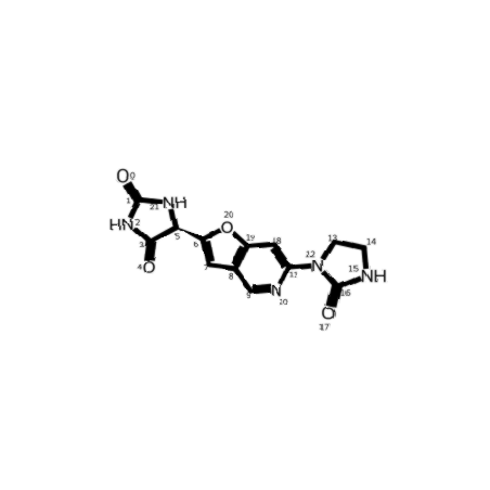 O=C1NC(=O)[C@H](c2cc3cnc(N4CCNC4=O)cc3o2)N1